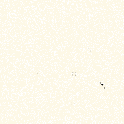 O=C(c1ccccc1)C1CS[C@H]2[C@@H](Cl)C(=O)N12